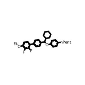 CCCCCc1ccc(OC(c2ccc(-c3ccc(OCC)c(F)c3F)cc2)C2CCCCC2)cc1